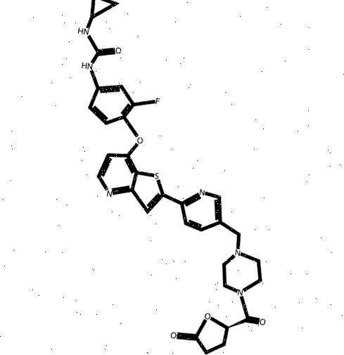 O=C(Nc1ccc(Oc2ccnc3cc(-c4ccc(CN5CCN(C(=O)[C@H]6CCC(=O)O6)CC5)cn4)sc23)c(F)c1)NC1CC1